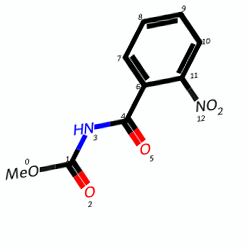 COC(=O)NC(=O)c1ccccc1[N+](=O)[O-]